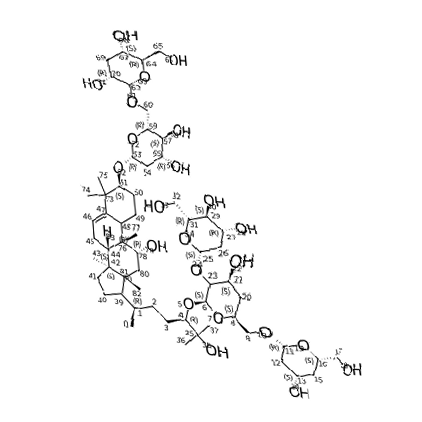 C[C@H](CC[C@@H](O[C@@H]1O[C@H](CO[C@H]2C[C@@H](O)C[C@@H](CO)O2)C[C@H](O)C1O[C@H]1C[C@@H](O)[C@H](O)[C@@H](CO)O1)C(C)(C)O)C1CC[C@@]2(C)[C@@H]3CC=C4C(CC[C@H](O[C@H]5C[C@@H](O)[C@H](O)[C@@H](COC6O[C@H](CO)[C@@H](O)C[C@H]6O)O5)C4(C)C)[C@]3(C)[C@H](O)C[C@]12C